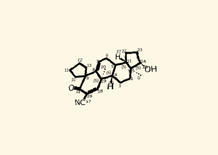 C[C@]12CC[C@H]3C(CC=C4C5(CCCC5)C(=O)C(C#N)=C[C@@]43C)[C@@H]1CC[C@@H]2O